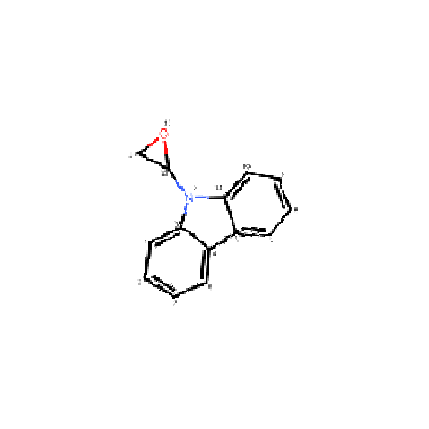 c1ccc2c(c1)c1ccccc1n2C1CO1